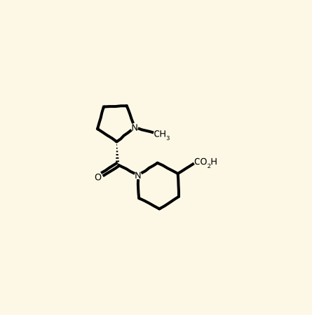 CN1CCC[C@H]1C(=O)N1CCCC(C(=O)O)C1